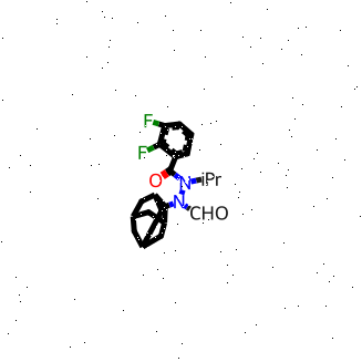 CC(C)N(C(=O)c1cccc(F)c1F)N(C=O)C1C2CC3CC(C2)CC1C3